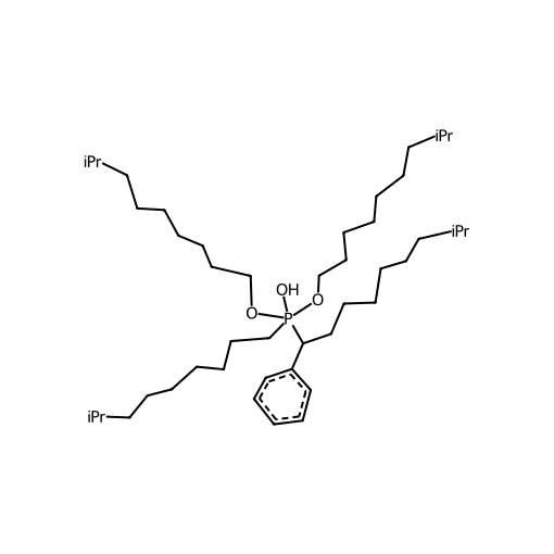 CC(C)CCCCCCCOP(O)(CCCCCCCC(C)C)(OCCCCCCCC(C)C)C(CCCCCCC(C)C)c1ccccc1